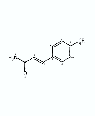 NC(=O)/C=C/c1ccc(C(F)(F)F)cc1